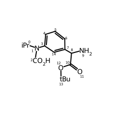 CC(C)N(C(=O)O)c1cccc(C(N)C(=O)OC(C)(C)C)c1